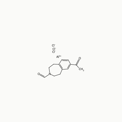 CC(=O)c1ccc2c(c1)CCN(C=O)CC2.[Al+3].[Cl-].[Cl-].[Cl-]